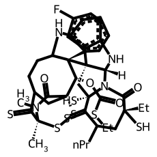 CCCC1C[C@](S)(CC)C(=O)N2[C@H]3Nc4ccc(F)cc4[C@@]3([C@@]34c5ccccc5NC3CCC3C[C@]5(SS[C@@](C)(C3=S)N(C)C5=O)[C@H]4OC(=O)SCC)C[C@]2(S)C1=S